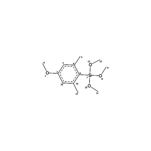 COc1cc(C)c([Si](OC)(OC)OC)c(C)c1